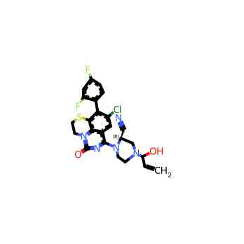 C=CC(O)N1CCN(c2nc(=O)n3c4c(c(-c5ccc(F)cc5F)c(Cl)cc24)SCC3)[C@@H](C#N)C1